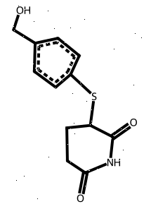 O=C1CCC(Sc2ccc(CO)cc2)C(=O)N1